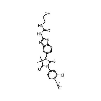 [C-]#[N+]c1ccc(N2C(=O)C(C)(C)N(c3ccc4sc(NC(=O)NCCO)nc4c3)C2=S)cc1Cl